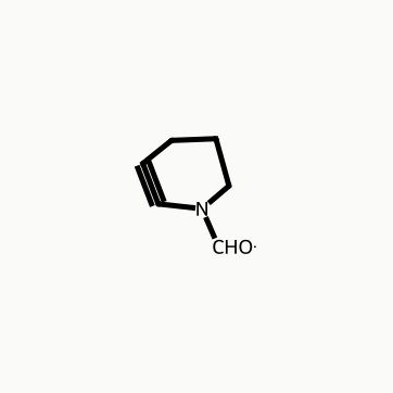 O=[C]N1C#CCCC1